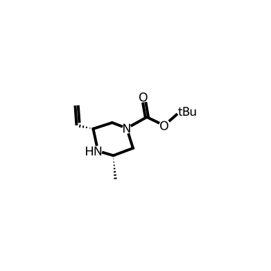 C=C[C@@H]1CN(C(=O)OC(C)(C)C)C[C@H](C)N1